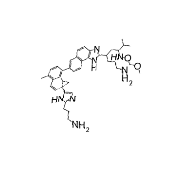 COCONC(CC(CCCN)c1nc2ccc3cc(-c4ccc(C)c(/C=C\[C@@]5(c6cnc(CCCN)[nH]6)CC5C)c4)ccc3c2[nH]1)C(C)C